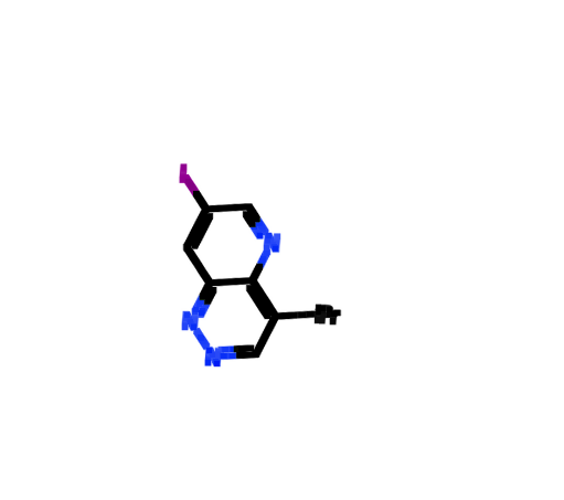 CC(C)c1cnnc2cc(I)cnc12